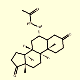 CC(=O)NN[C@H]1C[C@@H]2[C@H](CC[C@]3(C)C(=O)CC[C@@H]23)[C@@]2(C)CCC(=O)CC12